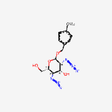 COc1ccc(COC2O[C@@H](CO)[C@H](N=[N+]=[N-])[C@@H](O)[C@H]2N=[N+]=[N-])cc1